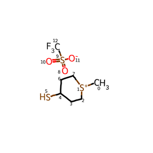 C[S+]1CCC(S)CC1.O=S(=O)([O-])C(F)(F)F